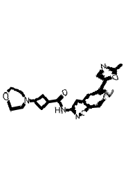 Cc1ncc(-c2cc3cc(NC(=O)C4CC(N5CCOCC5)C4)ncc3cn2)o1